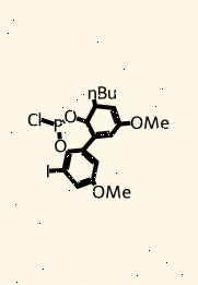 CCCCC1C=C(OC)C=C2c3cc(OC)cc(I)c3OP(Cl)OC21